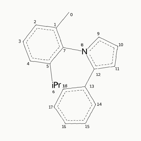 Cc1cccc(C(C)C)c1-n1cccc1-c1ccccc1